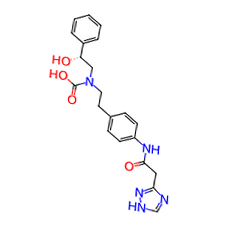 O=C(Cc1nc[nH]n1)Nc1ccc(CCN(C[C@H](O)c2ccccc2)C(=O)O)cc1